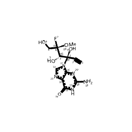 C#C[C@@](O)([C@H](O)[C@@](F)(CO)OC)n1cnc2c(=O)[nH]c(N)nc21